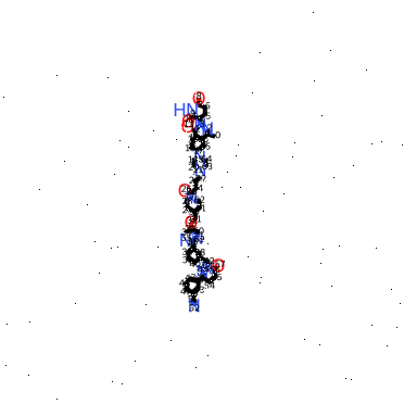 Cc1nn(C2CCC(=O)NC2=O)c(=O)c2ccc(N3CCN(CCCC(=O)N4CCC(COc5cnc(-c6cccc(Cn7nc(-c8cccc(C#N)c8)ccc7=O)c6)nc5)CC4)CC3)cc12